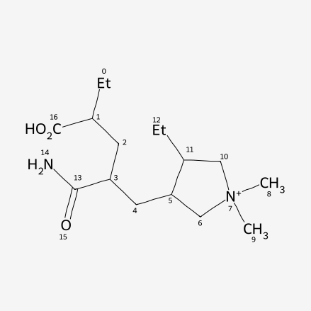 CCC(CC(CC1C[N+](C)(C)CC1CC)C(N)=O)C(=O)O